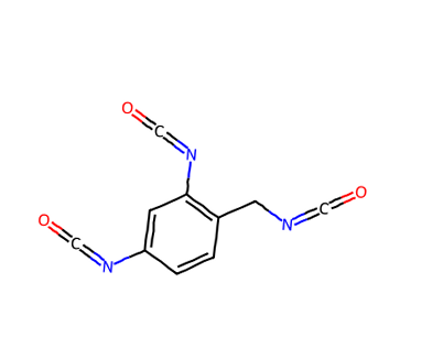 O=C=NCc1ccc(N=C=O)cc1N=C=O